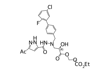 CCOC(=O)OCOC(=O)[C@H](O)CN(Cc1ccc(-c2cc(Cl)ccc2F)cc1)NC(=O)c1cc(C(C)=O)n[nH]1